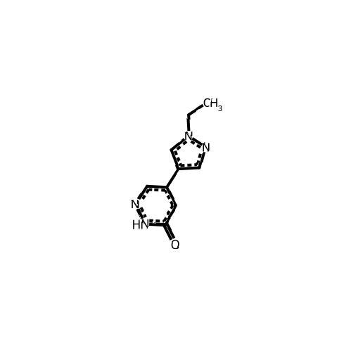 CCn1cc(-c2cn[nH]c(=O)c2)cn1